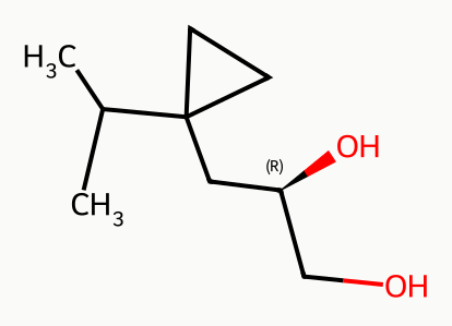 CC(C)C1(C[C@@H](O)CO)CC1